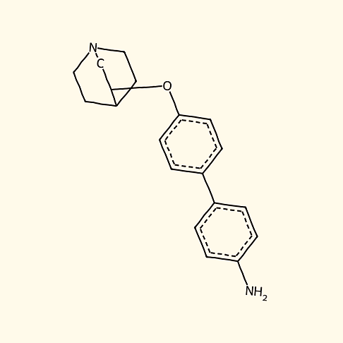 Nc1ccc(-c2ccc(OC3CN4CCC3CC4)cc2)cc1